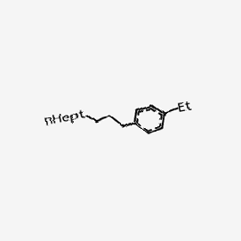 [CH2]Cc1ccc(CCCCCCCCCC)cc1